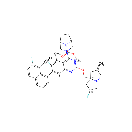 C#Cc1c(F)ccc2cccc(-c3c(F)c(OC)c4c(N5CC6CCC(C5)N6C(=O)OC(C)(C)C)nc(OC[C@]56CC(=C)CN5C[C@@H](F)C6)nc4c3F)c12